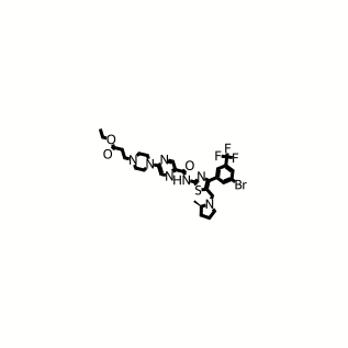 CCOC(=O)CCN1CCN(c2cnc(C(=O)Nc3nc(-c4cc(Br)cc(C(F)(F)F)c4)c(CN4CCC[C@H]4C)s3)cn2)CC1